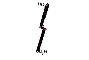 C[N+](C)(CCCOCCCCOCCC[N+](C)(C)CCCOCCOCCOCCOCCOCCOCCOCCOCCOCCOCCOCCOCCOCCOCCOCCOCCOCCOCCOS(=O)(=O)O)CCCOCCOCCOCCOCCOCCOCCOCCOCCOCCOCCOCCOCCOCCOCCOCCOCCOCCOCCOS(=O)(=O)O